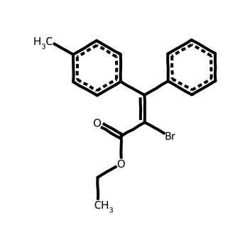 CCOC(=O)C(Br)=C(c1ccccc1)c1ccc(C)cc1